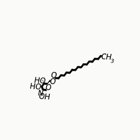 CCCCCCCCCCCCCCCCCC(=O)OC[C@H]1OC/C(=N\O)[C@@H](O)[C@@H]1O